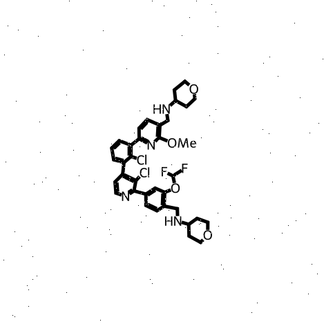 COc1nc(-c2cccc(-c3ccnc(-c4ccc(CNC5CCOCC5)c(OC(F)F)c4)c3Cl)c2Cl)ccc1CNC1CCOCC1